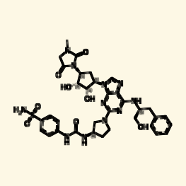 CN1CC(=O)N([C@H]2C[C@@H](n3cnc4c(N[C@H](CO)Cc5ccccc5)nc(N5CC[C@@H](NC(=O)Nc6ccc(S(N)(=O)=O)cc6)C5)nc43)[C@H](O)[C@@H]2O)C1=O